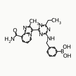 CCc1nc(NCc2cccc(B(O)O)c2)nc(-c2c(C)nc3c(C(N)=O)cccn23)n1